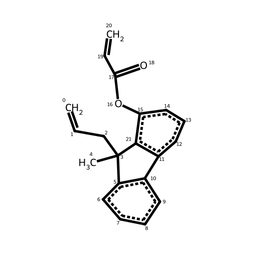 C=CCC1(C)c2ccccc2-c2cccc(OC(=O)C=C)c21